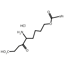 CCCC(=O)OCCCCC(N)C(=O)CCC(=O)O.Cl